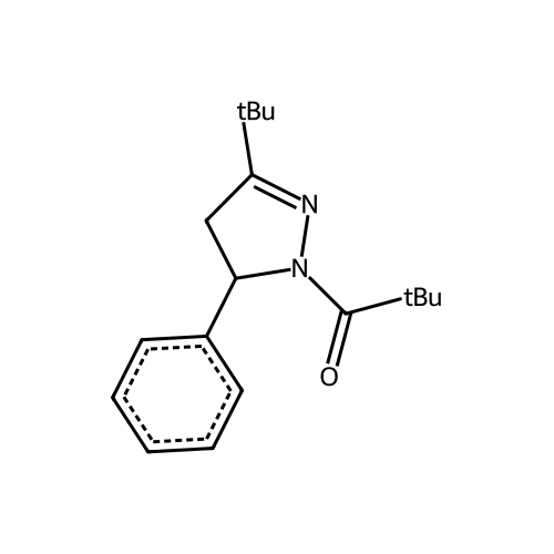 CC(C)(C)C(=O)N1N=C(C(C)(C)C)CC1c1ccccc1